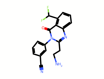 N#Cc1cccc(-n2c(CCN)nc3cccc(C(F)F)c3c2=O)c1